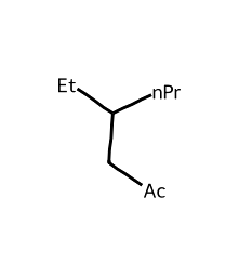 [CH2]C(=O)CC(CC)CCC